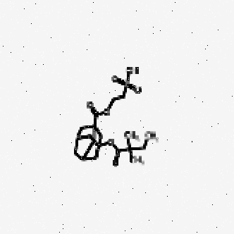 CCC(C)(C)C(=O)OC12CC3CC(C1)CC(C(=O)OCCS(=O)(=O)O)(C3)C2